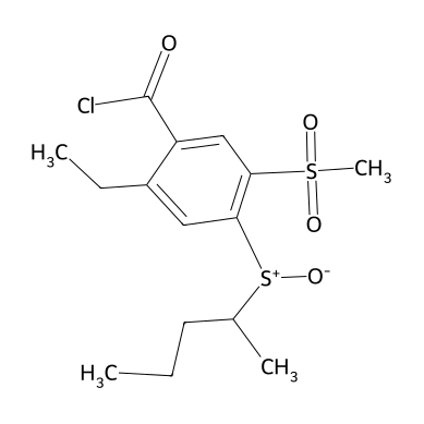 CCCC(C)[S+]([O-])c1cc(CC)c(C(=O)Cl)cc1S(C)(=O)=O